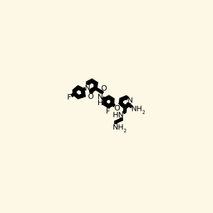 NCCNCc1c(Oc2ccc(NC(=O)c3cccn(-c4ccc(F)cc4)c3=O)cc2F)ccnc1N